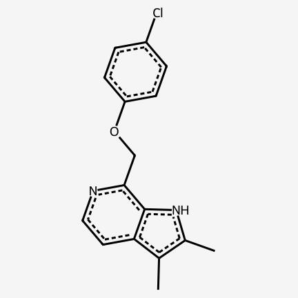 Cc1[nH]c2c(COc3ccc(Cl)cc3)nccc2c1C